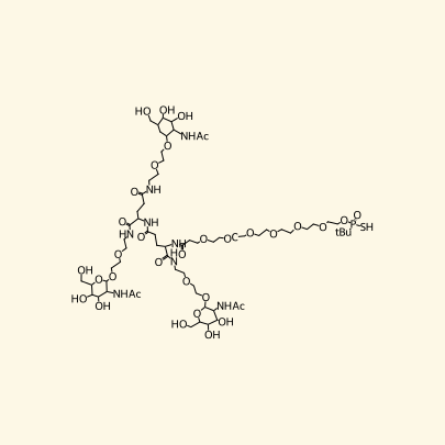 CC(=O)NC1C(OCCOCCNC(=O)CCC(NC(=O)CCC(NC(=O)CCOCCOCCOCCOCCOCCOCCOP(=O)(S)C(C)(C)C)C(=O)NCCOCCOC2OC(CO)C(O)C(O)C2NC(C)=O)C(=O)NCCOCCOC2OC(CO)C(O)C(O)C2NC(C)=O)CC(CO)C(O)C1O